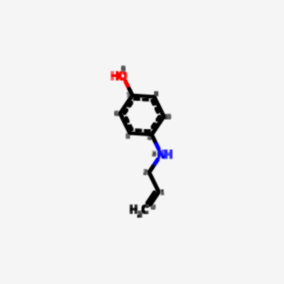 C=CCNc1ccc(O)cc1